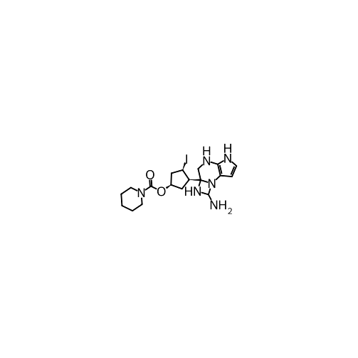 NC1NC2([C@H]3C[C@@H](OC(=O)N4CCCCC4)C[C@H]3I)CNc3[nH]ccc3N12